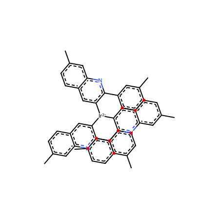 Cc1cccc(-c2nc3cc(C)ccc3c[c]2[Ir-2]([c]2cc3ccc(C)cc3nc2-c2cccc(C)c2)[c]2cc3ccc(C)cc3nc2-c2cccc(C)c2)c1